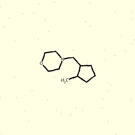 [CH2]C1CCCC1CN1CCOCC1